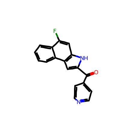 O=C(c1ccncc1)c1cc2c(cc(F)c3ccccc32)[nH]1